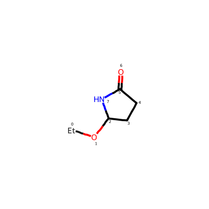 CCOC1CCC(=O)N1